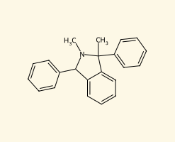 CN1C(c2ccccc2)c2ccccc2C1(C)c1ccccc1